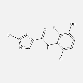 O=C(Nc1c(Cl)ccc(O)c1F)c1cnc(Br)s1